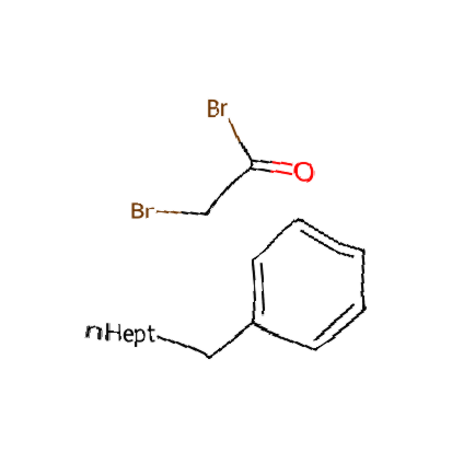 CCCCCCCCc1ccccc1.O=C(Br)CBr